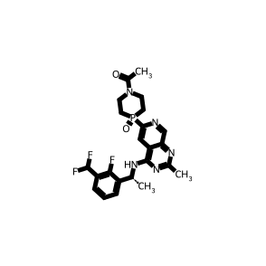 CC(=O)N1CCP(=O)(c2cc3c(N[C@H](C)c4cccc(C(F)F)c4F)nc(C)nc3cn2)CC1